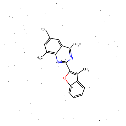 Cc1c(-c2nc(C(=O)O)c3cc(C(C)(C)C)cc(C)c3n2)oc2ccccc12